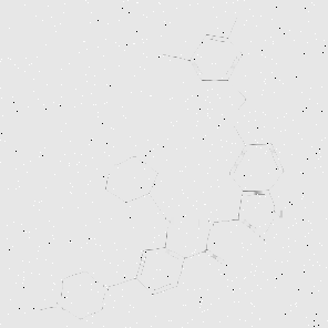 CN1CCN(c2ccc(C(=O)Nc3n[nH]c4ccc(OCc5cc(F)cc(Cl)c5)cc34)c(NC3CCOCC3)c2)CC1